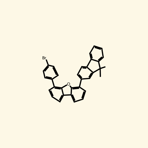 CC1(C)c2ccccc2-c2ccc(-c3cccc4c3oc3c(-c5ccc(Br)cc5)cccc34)cc21